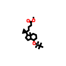 COC(=O)CCCC1(C2CCC3C(O[Si](C)(C)C(C)(C)C)CCCC32C)CC1